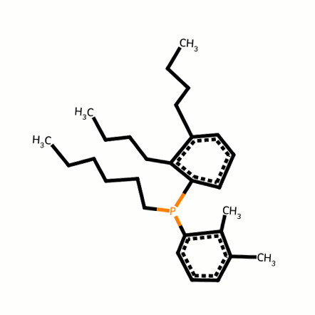 CCCCCCP(c1cccc(C)c1C)c1cccc(CCCC)c1CCCC